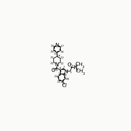 CN(C)C(=O)Cn1cc(C(=O)N2CCC(c3ccncc3)CC2)c2ccc(Cl)cc21